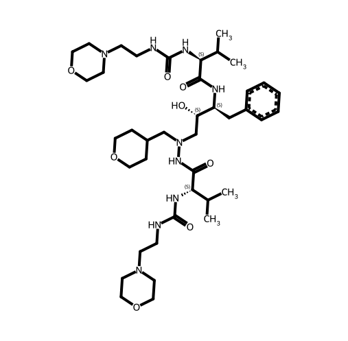 CC(C)[C@H](NC(=O)NCCN1CCOCC1)C(=O)N[C@@H](Cc1ccccc1)[C@@H](O)CN(CC1CCOCC1)NC(=O)[C@@H](NC(=O)NCCN1CCOCC1)C(C)C